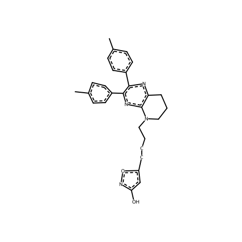 Cc1ccc(-c2nc3c(nc2-c2ccc(C)cc2)N(CCCCc2cc(O)no2)CCC3)cc1